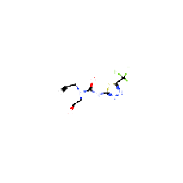 C#CCN(CC=O)C(=O)Nc1nnc(C(F)(F)F)s1